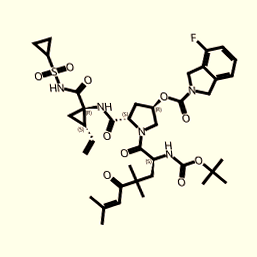 C=C[C@@H]1C[C@]1(NC(=O)[C@@H]1C[C@@H](OC(=O)N2Cc3cccc(F)c3C2)CN1C(=O)[C@H](CC(C)(C)C(=O)C=C(C)C)NC(=O)OC(C)(C)C)C(=O)NS(=O)(=O)C1CC1